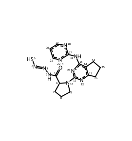 O=C(NN=NS)C1CCCN1c1nc2c(c(Nc3ncccn3)n1)CCC2